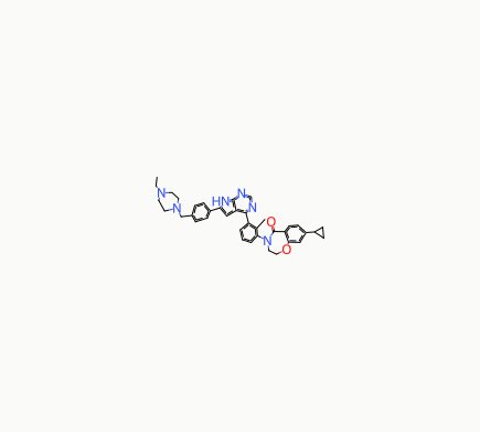 CCN1CCN(Cc2ccc(-c3cc4c(-c5cccc(N6CCOc7cc(C8CC8)ccc7C6=O)c5C)ncnc4[nH]3)cc2)CC1